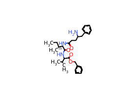 CC[C@H](C)C(NC(=O)CCC(N)Cc1ccccc1)C(=O)NC(C(=O)OCc1ccccc1)C(C)C